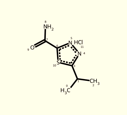 CC(C)c1nnc(C(N)=O)s1.Cl